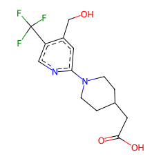 O=C(O)CC1CCN(c2cc(CO)c(C(F)(F)F)cn2)CC1